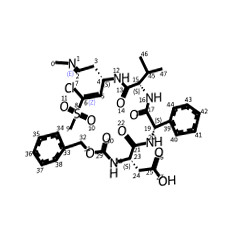 C/N=C/C[C@@H](/C=C(\Cl)S(C)(=O)=O)NC(=O)[C@@H](NC(=O)[C@@H](NC(=O)[C@H](CC(=O)O)NC(=O)OCc1ccccc1)c1ccccc1)C(C)C